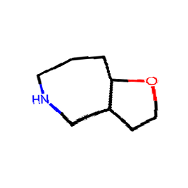 C1CNCC2CCOC2C1